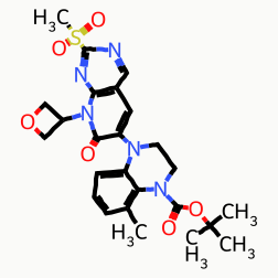 Cc1cccc2c1N(C(=O)OC(C)(C)C)CCN2c1cc2cnc(S(C)(=O)=O)nc2n(C2COC2)c1=O